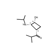 CC(C)N[C@@H]1[C@H](O)C[C@@H]1C(=O)C(C)C